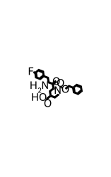 NC(Cc1ccc(F)cc1)C(=O)C1CC(C(=O)O)CCN1C(=O)OCc1ccccc1